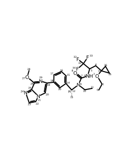 CCOC1(CC(NC(=O)N(CC)[C@H](C)c2cccc(-c3cn4ccnc4c(OC)n3)c2)C(F)(F)F)CC1